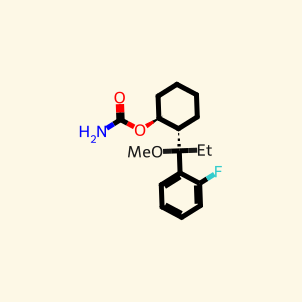 CCC(OC)(c1ccccc1F)[C@H]1CCCC[C@@H]1OC(N)=O